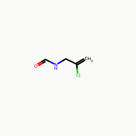 C=C(Cl)CNC=O